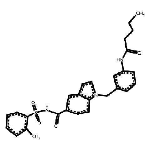 CCCCC(=O)Nc1cccc(Cn2ccc3cc(C(=O)NS(=O)(=O)c4ccccc4C)ccc32)c1